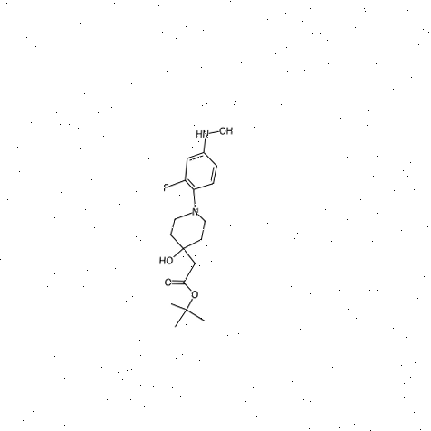 CC(C)(C)OC(=O)CC1(O)CCN(c2ccc(NO)cc2F)CC1